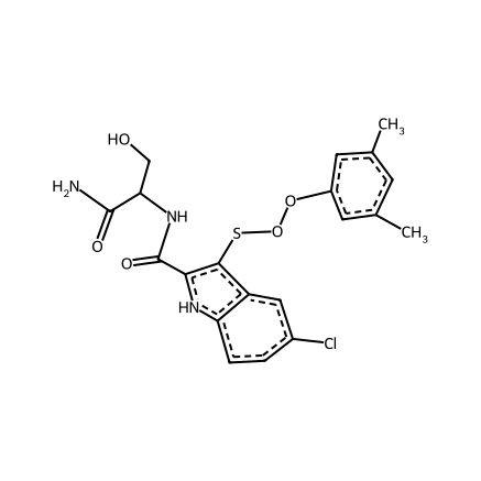 Cc1cc(C)cc(OOSc2c(C(=O)NC(CO)C(N)=O)[nH]c3ccc(Cl)cc23)c1